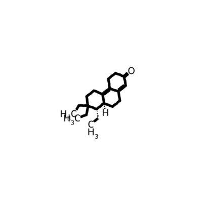 CC[C@H]1[C@@H]2CCC3=CC(=O)CCC3=C2CCC1(CC)CC